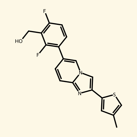 Cc1csc(-c2cn3cc(-c4ccc(F)c(CO)c4F)ccc3n2)c1